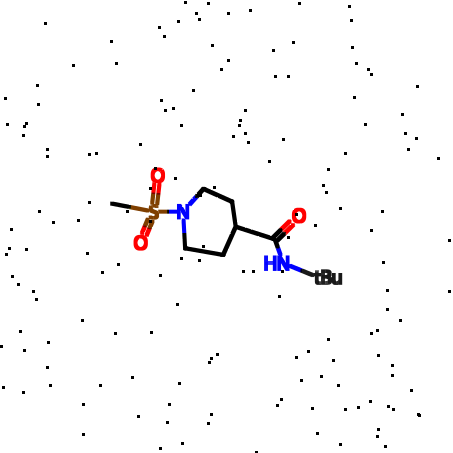 CC(C)(C)NC(=O)C1CCN(S(C)(=O)=O)CC1